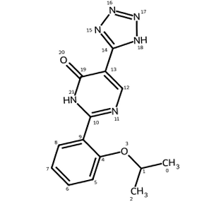 CC(C)Oc1ccccc1-c1ncc(-c2nnn[nH]2)c(=O)[nH]1